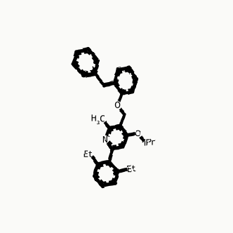 CCc1cccc(CC)c1-c1cc(OC(C)C)c(COc2ccccc2Cc2ccccc2)c(C)n1